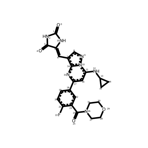 O=C1NC(=O)C(=Cc2cnn3c(NC4CC4)cc(-c4ccc(F)c(C(=O)N5CCOCC5)c4)nc23)N1